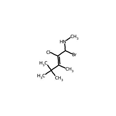 CNC(Br)/C(Cl)=C(\C)C(C)(C)C